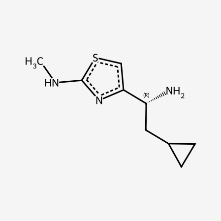 CNc1nc([C@H](N)CC2CC2)cs1